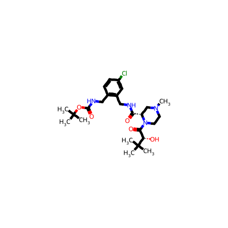 CN1CCN(C(=O)[C@H](O)C(C)(C)C)[C@H](C(=O)NCc2cc(Cl)ccc2CNC(=O)OC(C)(C)C)C1